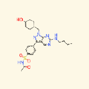 CCCCNc1ncc2c(-c3ccc(S(=O)(=O)NC(C)=O)cc3)nn(CC3CCC(O)CC3)c2n1